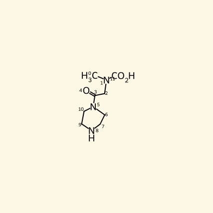 CN(CC(=O)N1CCNCC1)C(=O)O